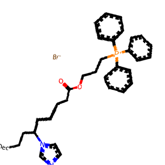 CCCCCCCCCCCCC(CCCCC(=O)OCCC[P+](c1ccccc1)(c1ccccc1)c1ccccc1)n1ccnc1.[Br-]